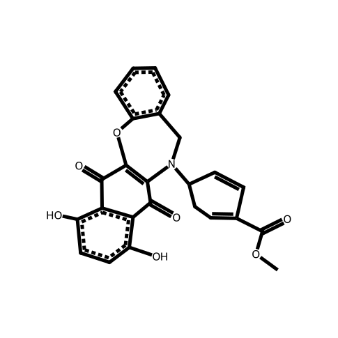 COC(=O)C1=CCC(N2Cc3ccccc3OC3=C2C(=O)c2c(O)ccc(O)c2C3=O)C=C1